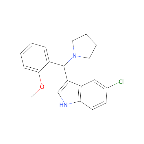 COc1ccccc1C(c1c[nH]c2ccc(Cl)cc12)N1CCCC1